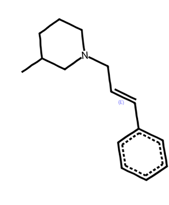 CC1CCCN(C/C=C/c2ccccc2)C1